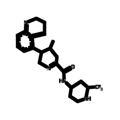 CC1CC(C(=O)NC2CCNC(C(F)(F)F)C2)=NCC1c1cccc2c1=CCCN=2